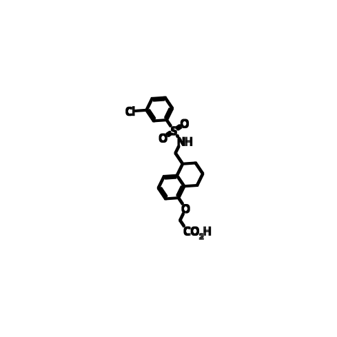 O=C(O)COc1cccc2c1CCCC2CNS(=O)(=O)c1cccc(Cl)c1